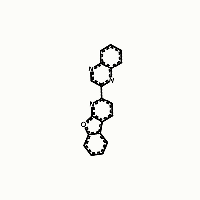 c1ccc2nc(-c3ccc4c(n3)oc3ccccc34)cnc2c1